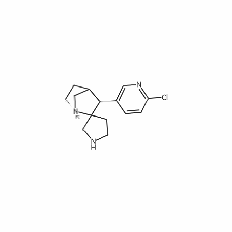 Clc1ccc(C2C3CC[N@](C3)C23CCNC3)cn1